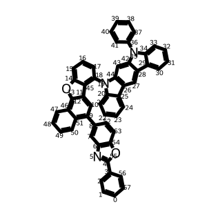 c1ccc(-c2nc3cc(-c4cc5c(oc6cccc(-n7c8ccccc8c8cc9c%10ccccc%10n(-c%10ccccc%10)c9cc87)c65)c5ccccc45)ccc3o2)cc1